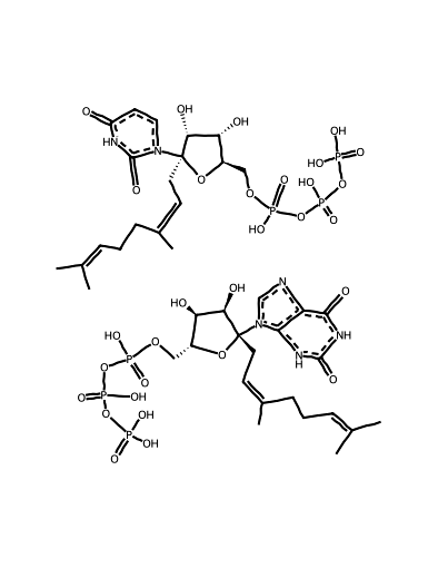 CC(C)=CCCC(C)=CC[C@@]1(n2ccc(=O)[nH]c2=O)O[C@H](COP(=O)(O)OP(=O)(O)OP(=O)(O)O)[C@@H](O)[C@H]1O.CC(C)=CCCC(C)=CC[C@@]1(n2cnc3c(=O)[nH]c(=O)[nH]c32)O[C@H](COP(=O)(O)OP(=O)(O)OP(=O)(O)O)[C@@H](O)[C@H]1O